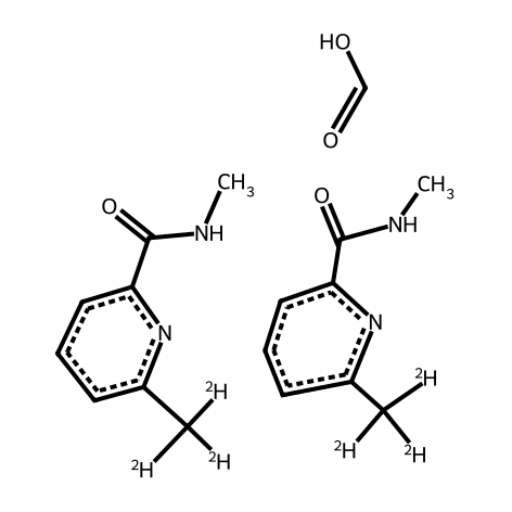 O=CO.[2H]C([2H])([2H])c1cccc(C(=O)NC)n1.[2H]C([2H])([2H])c1cccc(C(=O)NC)n1